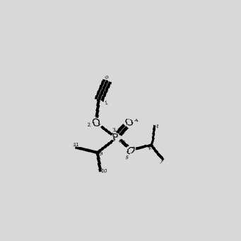 C#COP(=O)(OC(C)C)C(C)C